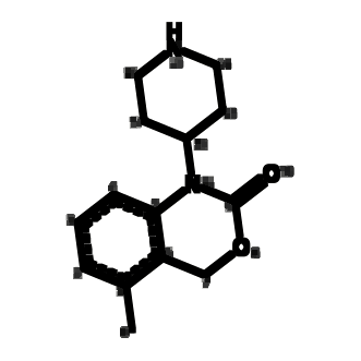 Cc1cccc2c1COC(=O)N2C1CCNCC1